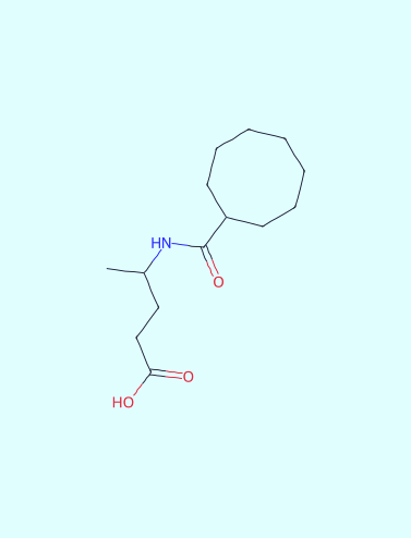 CC(CCC(=O)O)NC(=O)C1CCCCCCC1